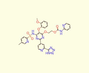 COc1ccccc1Oc1c(NS(=O)(=O)c2ccc(C)cn2)nc(-c2ccnc(-c3nnn[nH]3)c2)nc1OCCOC(=O)Nc1ccccn1